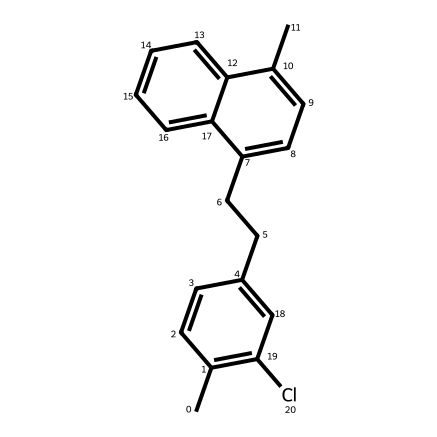 Cc1ccc(CCc2ccc(C)c3ccccc23)cc1Cl